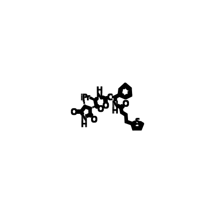 CC(C)[C@@H](NC(=O)C[C@H](NC(=O)CCCc1cccs1)c1ccccc1)C(=O)[C@@H]1C(=O)NC(=O)[C@@H]1C